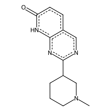 CN1CCCC(c2ncc3ccc(=O)[nH]c3n2)C1